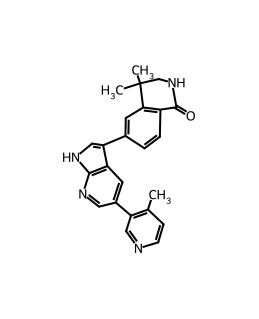 Cc1ccncc1-c1cnc2[nH]cc(-c3ccc4c(c3)C(C)(C)CNC4=O)c2c1